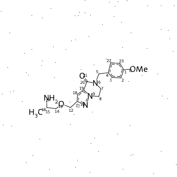 COc1ccc(CN2CCn3nc(COC[C@H](C)N)cc3C2=O)cc1